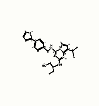 CC[C@@H](CO)Nc1nc(NCc2ccc(-c3cccs3)cc2)n2ncc(C(C)C)c2n1